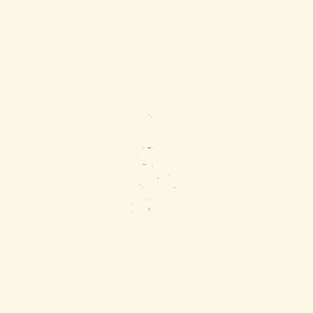 C[C@@H]1Cc2c([nH]c3ccccc23)[C@@H](c2ccc(NC3CN(CCCF)C3)cc2OC(F)F)N1CC1(F)CCC1